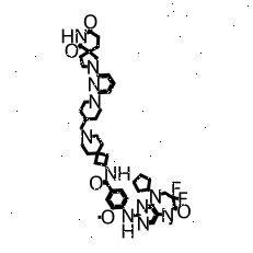 COc1cc(C(=O)NC2CC3(CCN(CC4CCN(c5cccc(N6CCC7(CCC(=O)NC7=O)C6)n5)CC4)CC3)C2)ccc1Nc1ncc2c(n1)N(C1CCCC1)CC(F)(F)C(=O)N2C